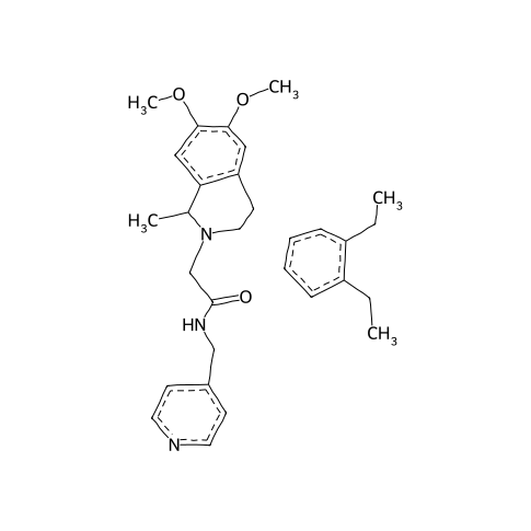 CCc1ccccc1CC.COc1cc2c(cc1OC)C(C)N(CC(=O)NCc1ccncc1)CC2